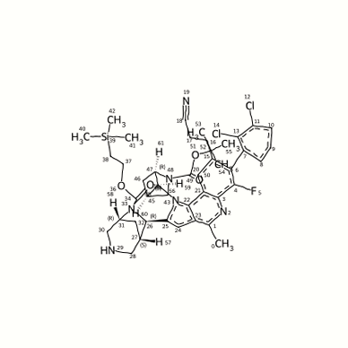 Cc1nc2c(F)c(-c3cccc(Cl)c3Cl)c(CCC#N)cc2c2c1cc([C@H]1[C@@H]3CNC[C@@H](C3)N1C(=O)OCC[Si](C)(C)C)n2[C@H]1[C@@H]2C[C@H]1N(C(=O)OC(C)(C)C)C2